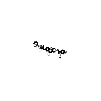 O=C(/C=C/c1ccc2c(c1)C(=O)CC1(CCN(Cc3c[nH]c4cc(F)ccc34)CC1)O2)NOC1CCCCO1